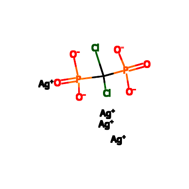 O=P([O-])([O-])C(Cl)(Cl)P(=O)([O-])[O-].[Ag+].[Ag+].[Ag+].[Ag+]